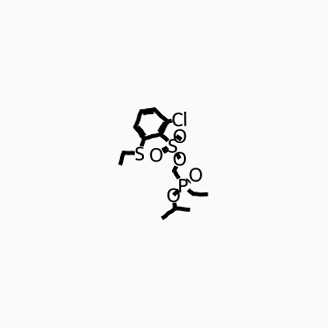 CCSc1cccc(Cl)c1S(=O)(=O)OCP(=O)(CC)OC(C)C